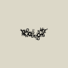 C=C1C[C@H]2C=Nc3cc(OCOc4cc5c(cc4OC)C(=O)N4CC(=C)C[C@H]4C=N5)c(OC)cc3C(=O)N2C1